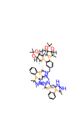 C[C@@H]1NN[C@@H](C)P1c1ccccc1P1[C@H](C)NN(CN2[C@@H](C)P(c3ccccc3P3[C@H](C)N(C)N(C)[C@H]3C)[C@H](C)N2Cc2ccc(P3[C@H](C)[C@H]4OC(C)(C)O[C@@H]4[C@H]3C)c(P3[C@H](C)[C@H]4OC(C)(C)O[C@@H]4[C@H]3C)c2)[C@H]1C